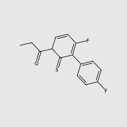 CCC(=O)C1C=CC(F)=C(c2ccc(F)cc2)C1=S